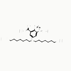 CCCCCCCCNCCCCCCCC.Cn1nnc2c(C(=O)O)cccc21